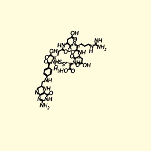 CSSC[C@H](NC(=O)[C@H](CC(=O)O)NC(=O)[C@H](CCCNC(=N)N)NC(=O)[C@H](CC(=O)O)NC(=O)CC[C@H](NC(=O)c1ccc(NCC2C=Nc3nc(N)[nH]c(=O)c3N2)cc1)C(=O)O)C(=O)O